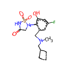 CN(Cc1cc(F)cc(O)c1N1CC(=O)NS1(=O)=O)CC1CCC1